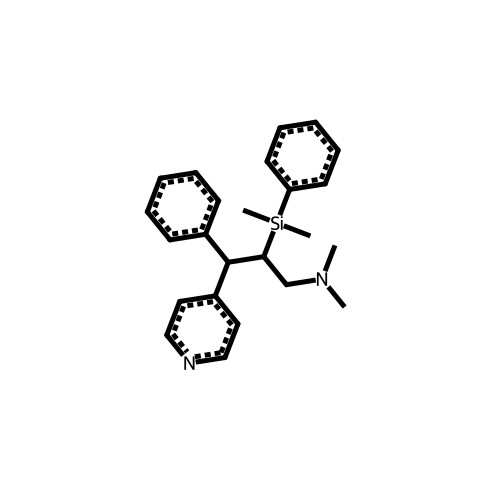 CN(C)CC(C(c1ccccc1)c1ccncc1)[Si](C)(C)c1ccccc1